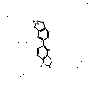 c1cc2c(cc1-c1ccc3c(c1)OCO3)CNC2